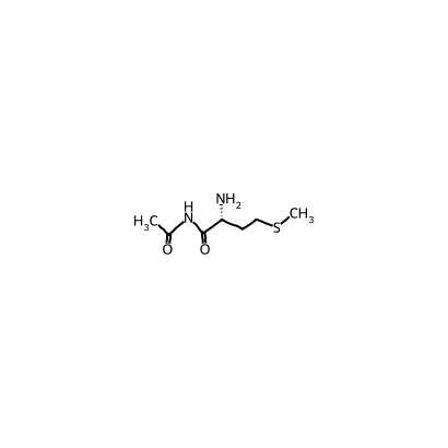 CSCC[C@@H](N)C(=O)NC(C)=O